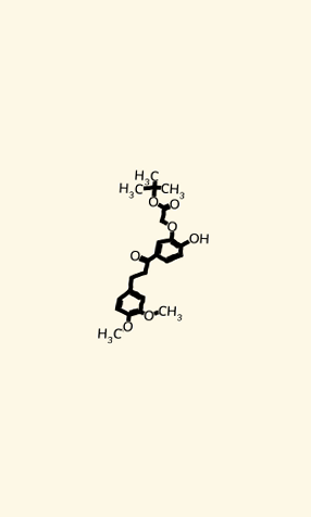 COc1ccc(CCC(=O)c2ccc(O)c(OCC(=O)OC(C)(C)C)c2)cc1OC